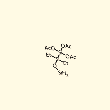 CC[Si](CC)(O[SiH3])[Si](OC(C)=O)(OC(C)=O)OC(C)=O